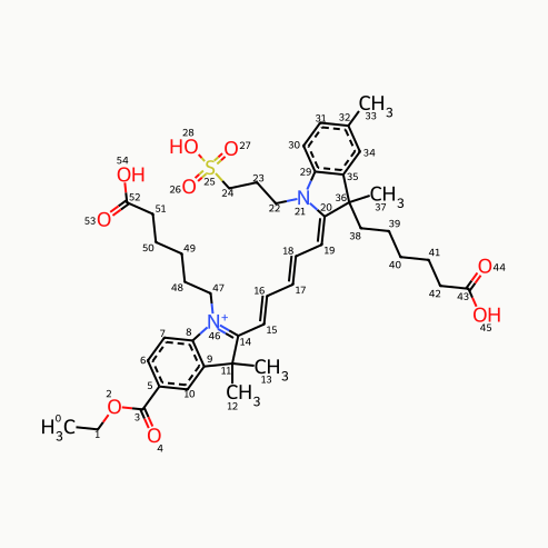 CCOC(=O)c1ccc2c(c1)C(C)(C)C(/C=C/C=C/C=C1\N(CCCS(=O)(=O)O)c3ccc(C)cc3C1(C)CCCCCC(=O)O)=[N+]2CCCCCC(=O)O